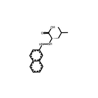 CC(C)C[C@H](NNc1ccc2ccccc2c1)C(=O)O